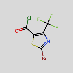 O=C(Cl)c1sc(Br)nc1C(F)(F)F